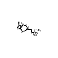 COP(=O)(O)CCC1C2CCc3nnn(C)c3CCC21